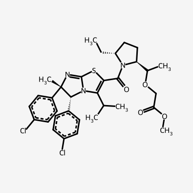 CC[C@@H]1CC[C@@H](C(C)OCC(=O)OC)N1C(=O)C1=C(C(C)C)N2C(=N[C@@](C)(c3ccc(Cl)cc3)[C@H]2c2ccc(Cl)cc2)S1